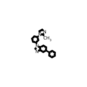 Cc1nccn1-c1cccc(-n2cnc3cc(-c4ccccc4)ccc32)c1